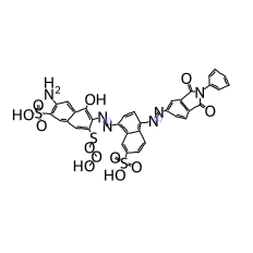 Nc1cc2c(O)c(/N=N/c3ccc(/N=N/c4ccc5c(c4)C(=O)N(c4ccccc4)C5=O)c4ccc(S(=O)(=O)O)cc34)c(SOOO)cc2cc1S(=O)(=O)O